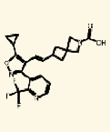 O=C(O)N1CC2(CC(C=Cc3c(-c4cccnc4C(F)(F)F)noc3C3CC3)C2)C1